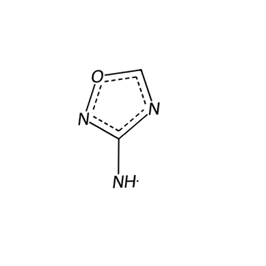 [NH]c1ncon1